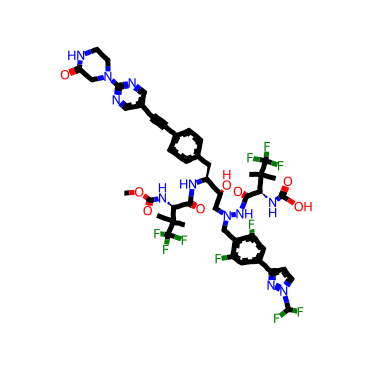 COC(=O)N[C@H](C(=O)N[C@@H](Cc1ccc(C#Cc2cnc(N3CCNC(=O)C3)nc2)cc1)[C@@H](O)CN(Cc1c(F)cc(-c2ccn(C(F)F)n2)cc1F)NC(=O)[C@@H](NC(=O)O)C(C)(C)C(F)(F)F)C(C)(C)C(F)(F)F